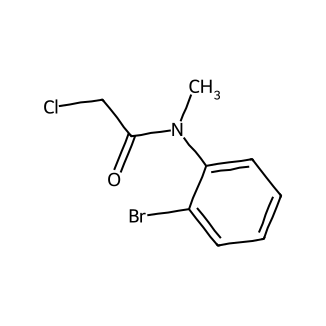 CN(C(=O)CCl)c1ccccc1Br